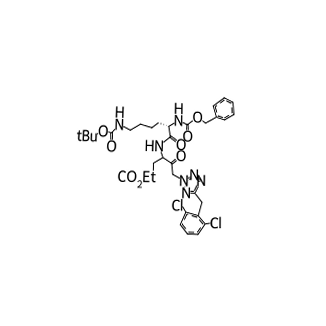 CCOC(=O)CC(NC(=O)[C@H](CCCCNC(=O)OC(C)(C)C)NC(=O)OCc1ccccc1)C(=O)Cn1nnc(Cc2c(Cl)cccc2Cl)n1